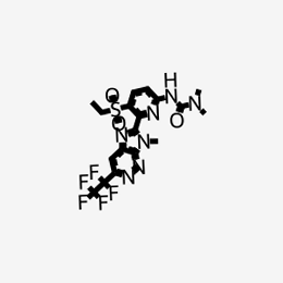 CCS(=O)(=O)c1ccc(NC(=O)N(C)C)nc1-c1nc2cc(C(F)(F)C(F)(F)F)nnc2n1C